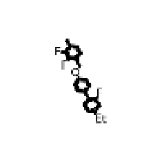 CCc1ccc(-c2ccc(OCc3ccc(C)c(F)c3F)cc2)c(F)c1